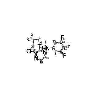 CC1(C)CC(CNc2cc(F)c(F)c(F)c2)(c2nccnc2Cl)C1